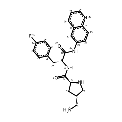 NC[C@H]1CN[C@H](C(=O)N[C@H](Cc2ccc(F)cc2)C(=O)Nc2ccc3ncccc3c2)C1